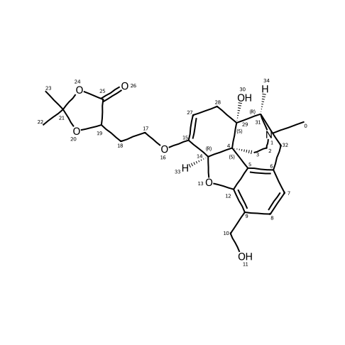 CN1CC[C@]23c4c5ccc(CO)c4O[C@H]2C(OCCC2OC(C)(C)OC2=O)=CC[C@@]3(O)[C@H]1C5